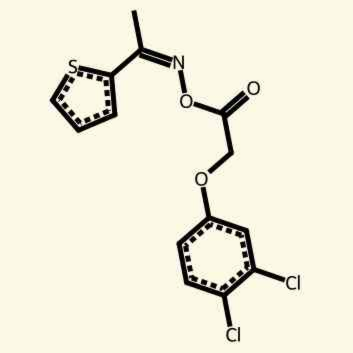 CC(=NOC(=O)COc1ccc(Cl)c(Cl)c1)c1cccs1